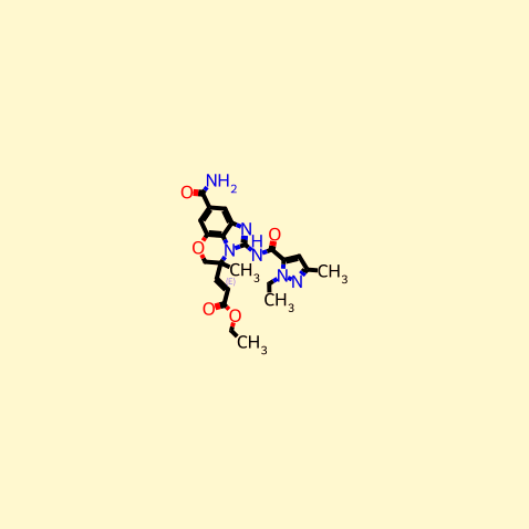 CCOC(=O)/C=C/C1(C)COc2cc(C(N)=O)cc3nc(NC(=O)c4cc(C)nn4CC)n1c23